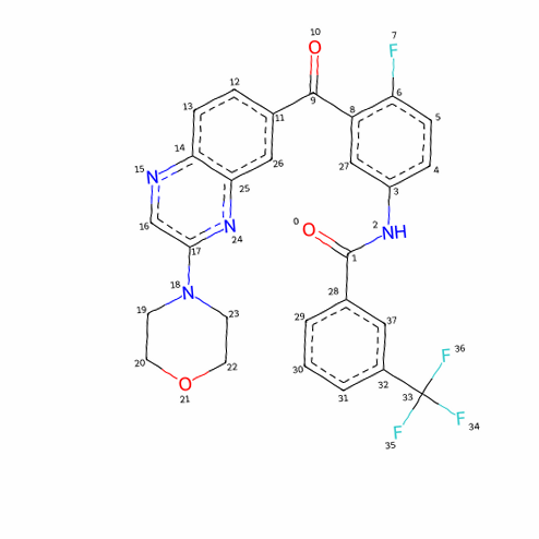 O=C(Nc1ccc(F)c(C(=O)c2ccc3ncc(N4CCOCC4)nc3c2)c1)c1cccc(C(F)(F)F)c1